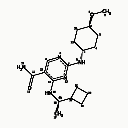 CO[C@H]1CC[C@H](Nc2ncc(C(N)=O)c(N[C@H](C)C3CCC3)n2)CC1